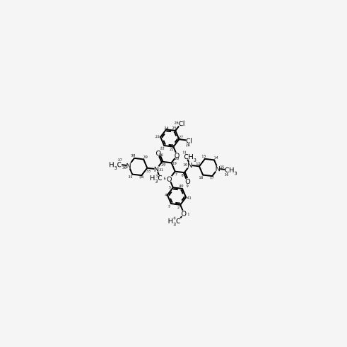 COc1ccc(OC(C(=O)N(C)C2CCN(C)CC2)C(Oc2cccc(Cl)c2Cl)C(=O)N(C)C2CCN(C)CC2)cc1